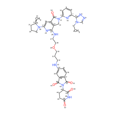 CCn1cnnc1-c1cccc(N2Cc3c(cc(N4CCC[C@H]4C)nc3NCCOCCCNc3ccc4c(c3)C(=O)N(C3CCC(=O)NC3=O)C4=O)C2=O)n1